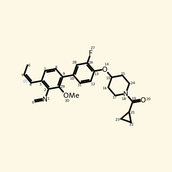 C=Nc1c(/C=C\C)ccc(-c2ccc(OC3CCN(C(=O)C4CC4)CC3)c(F)c2)c1OC